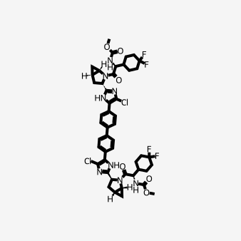 COC(=O)N[C@H](C(=O)N1[C@@H]2C[C@@H]2C[C@H]1c1nc(Cl)c(-c2ccc(-c3ccc(-c4[nH]c([C@@H]5C[C@H]6C[C@H]6N5C(=O)[C@@H](NC(=O)OC)C5CCC(F)(F)CC5)nc4Cl)cc3)cc2)[nH]1)C1CCC(F)(F)CC1